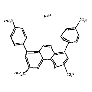 O=C(O)c1cc(-c2ccc(S(=O)(=O)O)cc2)c2ccc3c(-c4ccc(S(=O)(=O)O)cc4)cc(C(=O)O)nc3c2n1.[NaH]